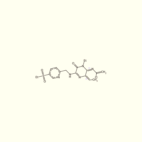 C=C(Cl)/N=C1\C(=C/C)N=C(NCc2ccc(S(=O)(=O)CC)cn2)C(=O)N1CC